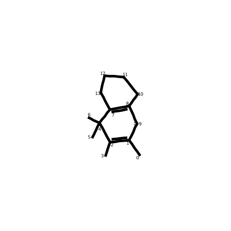 CC1=C(C)C(C)(C)C2=C([C]1)CCCC2